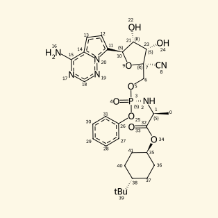 C[C@H](N[P@](=O)(OC[C@@]1(C#N)O[C@@H](c2ccc3c(N)ncnn23)[C@H](O)[C@@H]1O)Oc1ccccc1)C(=O)O[C@H]1CC[C@H](C(C)(C)C)CC1